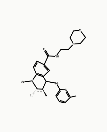 CC[C@H]1[C@H](C)C(Nc2cccc(C)n2)c2cc(C(=O)NCCN3CCOCC3)ccc2N1C(C)=O